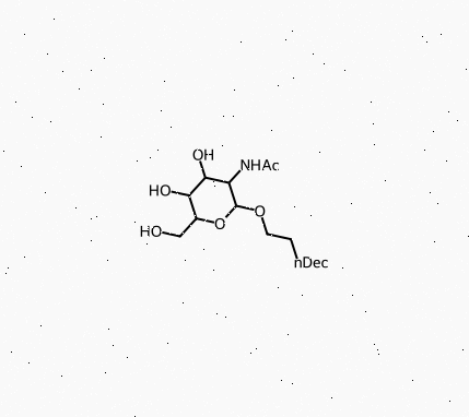 CCCCCCCCCCCCOC1OC(CO)C(O)C(O)C1NC(C)=O